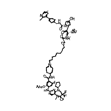 COc1cc(C(=O)NC2CCN(CCCCCCCCOCC(=O)N[C@H](C(=O)N3C[C@H](O)C[C@H]3C(=O)NCc3ccc(-c4scnc4C)cc3)C(C)(C)C)CC2)c(F)cc1Nc1ncc2c(n1)N(C1CCCC1)CC(F)(F)C(=O)N2C